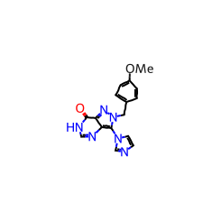 COc1ccc(Cn2nc3c(=O)[nH]cnc3c2-n2ccnc2)cc1